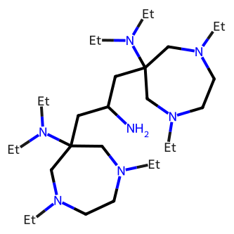 CCN1CCN(CC)CC(CC(N)CC2(N(CC)CC)CN(CC)CCN(CC)C2)(N(CC)CC)C1